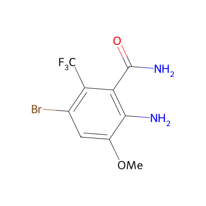 COc1cc(Br)c(C(F)(F)F)c(C(N)=O)c1N